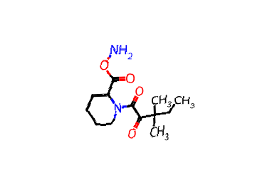 CCC(C)(C)C(=O)C(=O)N1CCCCC1C(=O)ON